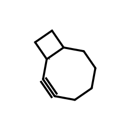 C1#C[C]2CCC2CCCC1